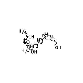 C=N/C=C(\C)c1nnc(CNC(C)C(O)c2ccc(-c3ccc(-c4nnc(CN5CCC(CCO)CC5)o4)cn3)cc2)o1